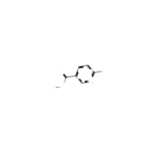 O=C(OBr)c1ccc(Br)nc1